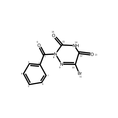 O=C(c1ccccc1)n1nc(Br)c(=O)[nH]c1=O